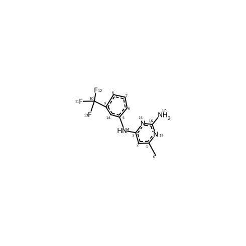 Cc1cc(Nc2cccc(C(F)(F)F)c2)nc(N)n1